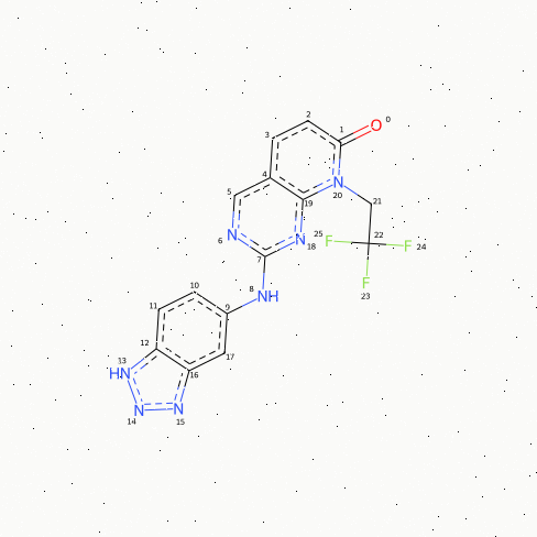 O=c1ccc2cnc(Nc3ccc4[nH]nnc4c3)nc2n1CC(F)(F)F